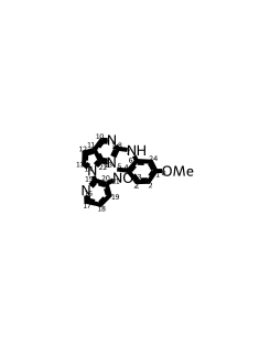 COc1ccc(C)c(Nc2ncc3ccn(-c4ncccc4[N+](=O)[O-])c3n2)c1